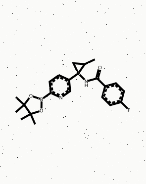 CC1CC1(NC(=O)c1ccc(F)cc1)c1ccc(B2OC(C)(C)C(C)(C)O2)nc1